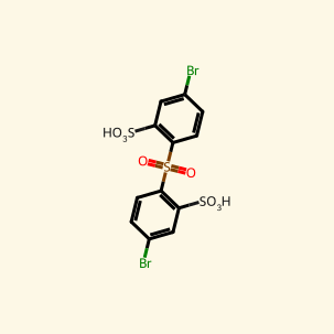 O=S(=O)(O)c1cc(Br)ccc1S(=O)(=O)c1ccc(Br)cc1S(=O)(=O)O